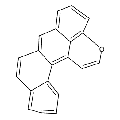 C1=Cc2c3c(cccc3cc3ccc4ccccc4c23)O1